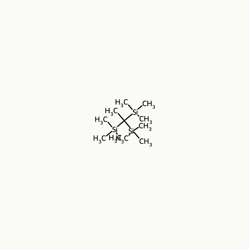 CC([Si](C)(C)C)([Si](C)(C)C)[Si](C)(C)C